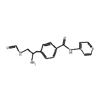 NC(CNC=O)c1ccc(C(=O)Nc2ccncc2)cc1